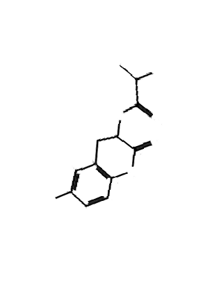 CC(C)C(=O)OC1Cc2cc(O)ccc2OC1=O